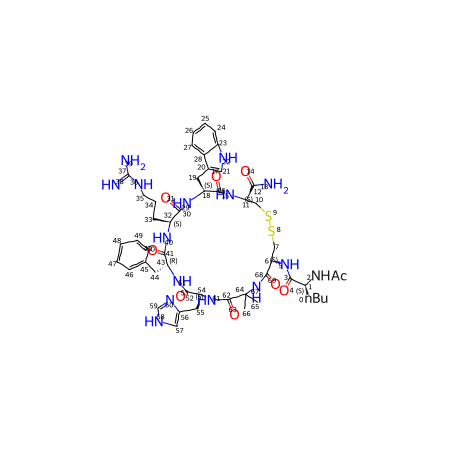 CCCC[C@H](NC(C)=O)C(=O)N[C@@H]1CSSC[C@H](C(N)=O)NC(=O)[C@H](Cc2c[nH]c3ccccc23)NC(=O)[C@H](CCCNC(=N)N)NC(=O)[C@@H](Cc2ccccc2)NC(=O)[C@H](Cc2c[nH]cn2)NC(=O)C(C)(C)NC1=O